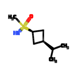 CC(C)[C@H]1C[C@@H](S(C)(=N)=O)C1